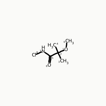 COC(C)(C)C(=O)NCl